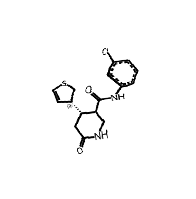 O=C1CC([C@@H]2C=CSC2)C(C(=O)Nc2cccc(Cl)c2)CN1